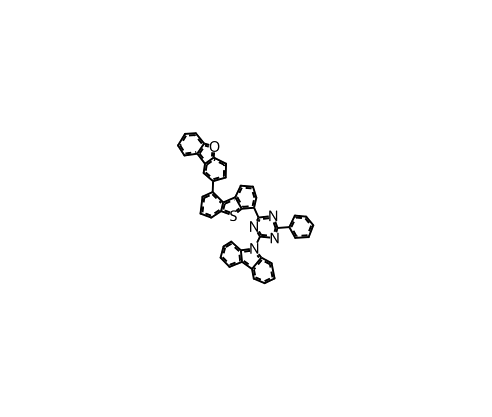 c1ccc(-c2nc(-c3cccc4c3sc3cccc(-c5ccc6oc7ccccc7c6c5)c34)nc(-n3c4ccccc4c4ccccc43)n2)cc1